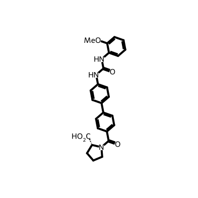 COc1ccccc1NC(=O)Nc1ccc(-c2ccc(C(=O)N3CCC[C@@H]3C(=O)O)cc2)cc1